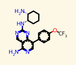 Nc1ncc(-c2ccc(OC(F)(F)F)cc2)c2nc(N[C@H]3CCCC[C@H]3N)ncc12